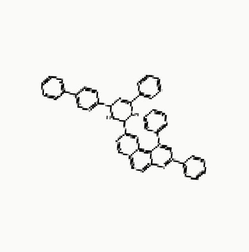 C1=C(c2ccccc2)NC(c2ccc3ccc4nc(-c5ccccc5)cc(-c5ccccc5)c4c3c2)NC1c1ccc(-c2ccccc2)cc1